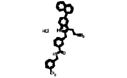 Cl.NCCc1c(Cc2cccc(C(=O)NCc3cccc(C(F)(F)F)c3)c2)[nH]c2ccc(-c3cccc4ccccc34)cc12